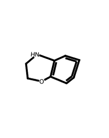 C1=C=CC2=C(C=1)NCCO2